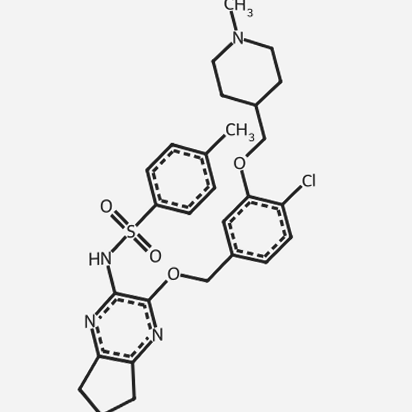 Cc1ccc(S(=O)(=O)Nc2nc3c(nc2OCc2ccc(Cl)c(OCC4CCN(C)CC4)c2)CCC3)cc1